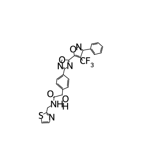 O=C(NCc1nccs1)C(O)c1ccc(-c2noc(-c3onc(-c4ccccc4)c3C(F)(F)F)n2)cc1